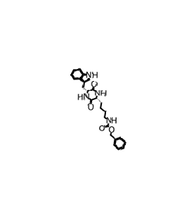 O=C(NCCCC[C@H]1NC(=O)[C@@H](Cc2c[nH]c3ccccc23)NC1=O)OCc1ccccc1